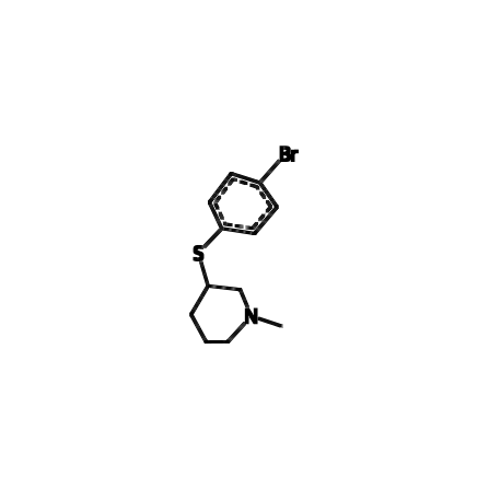 CN1CCCC(Sc2ccc(Br)cc2)C1